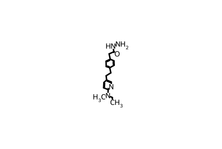 CCN(C)c1ccc(CCc2ccc(CC(=O)NN)cc2)cn1